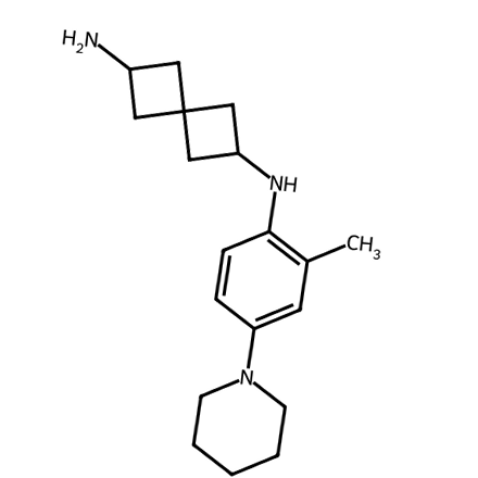 Cc1cc(N2CCCCC2)ccc1NC1CC2(CC(N)C2)C1